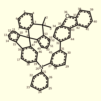 CC1(C)c2ccccc2C2(c3ccccc3-c3ccc(N(c4ccccc4)c4cccc(-c5ccc6oc7ccccc7c6c5)c4)cc32)c2ccccc21